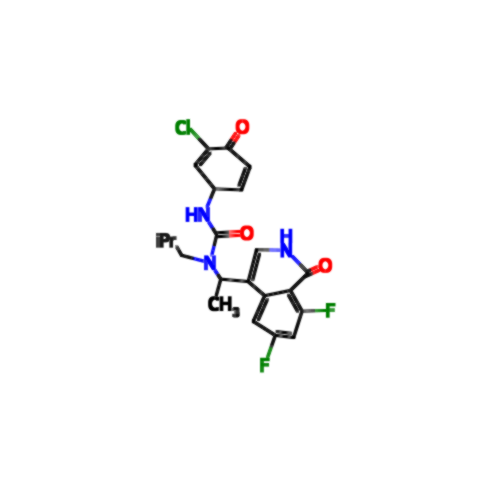 CC(C)CN(C(=O)NC1C=CC(=O)C(Cl)=C1)C(C)c1c[nH]c(=O)c2c(F)cc(F)cc12